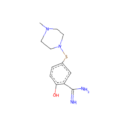 CN1CCN(Sc2ccc(O)c(C(=N)N)c2)CC1